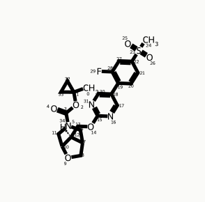 CC1(OC(=O)N2CC3COC(C2)[C@H]3COc2ncc(-c3ccc(S(C)(=O)=O)cc3F)cn2)CC1